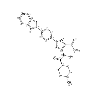 COC(=O)c1sc(-c2ccc(-c3cc4ncccc4o3)cc2)cc1N(C(=O)[C@H]1CC[C@H](C)CC1)C(C)C